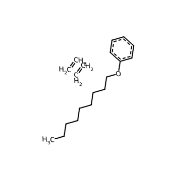 C=C.C=C.CCCCCCCCCOc1ccccc1